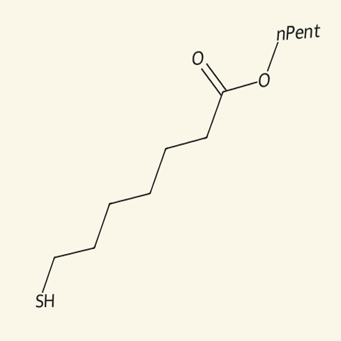 CCCCCOC(=O)CCCCCCS